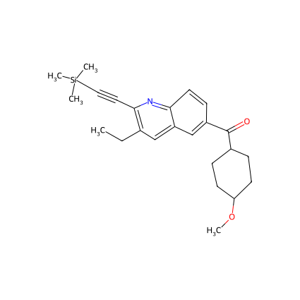 CCc1cc2cc(C(=O)C3CCC(OC)CC3)ccc2nc1C#C[Si](C)(C)C